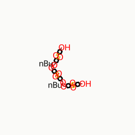 CCCCC(Oc1ccc(S(=O)(=O)c2ccc(O)cc2)cc1)Oc1ccc(S(=O)(=O)c2ccc(OC(CCCC)Oc3ccc(S(=O)(=O)c4ccc(O)cc4)cc3)cc2)cc1